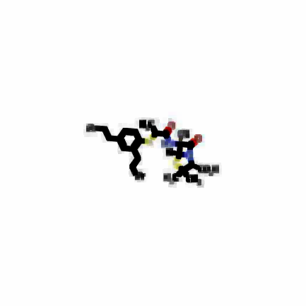 CC(C)CCc1ccc(SC(C)C(=O)N[C@@]2(C#N)C(=O)N3[C@@H](C(=O)O)C(C)(C)S[C@@H]32)c(CCC(C)C)c1